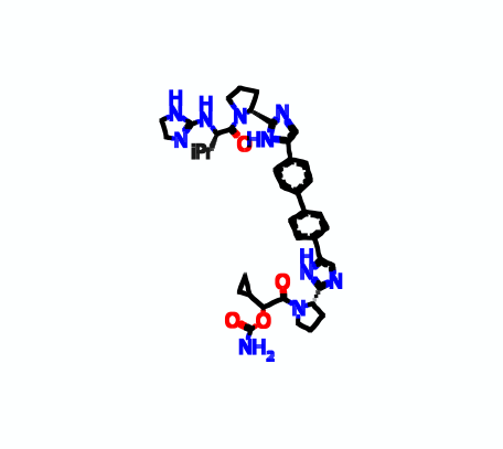 CC(C)[C@@H](NC1=NCCN1)C(=O)N1CCC[C@H]1c1ncc(-c2ccc(-c3ccc(-c4cnc([C@@H]5CCCN5C(=O)[C@@H](OC(N)=O)C5CC5)[nH]4)cc3)cc2)[nH]1